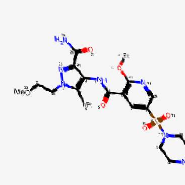 CCCc1c(NC(=O)c2cc(S(=O)(=O)N3CCN(CC)CC3)cnc2OCC)c(C(N)=O)nn1CCOC